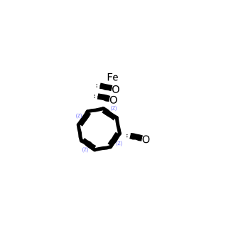 C1=C\C=C/C=C\C=C/1.[C]=O.[C]=O.[C]=O.[Fe]